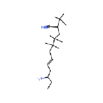 CCC(N)C/C=C/CC(C)(C)C(C)(C)CC(C#N)C(C)(C)C